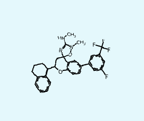 CNC1=NC2(CC(C3CCCc4ccccc43)Oc3ccc(-c4cc(F)cc(C(F)(F)F)c4)cc32)ON1C